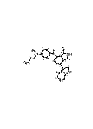 CC(C)N(CCCO)c1ccc(Nc2ccc(-c3cnc4cnccn34)c3c2C(=O)NC3)nc1